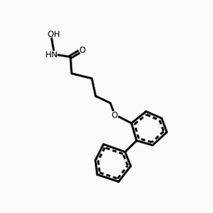 O=C(CCCCOc1ccccc1-c1ccccc1)NO